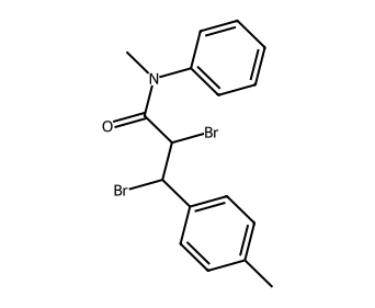 Cc1ccc(C(Br)C(Br)C(=O)N(C)c2ccccc2)cc1